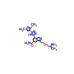 CCn1nc(C)cc1-c1nnc(-c2cc(C(N)=O)cc3c2cnn3CCOCCN(C)N)[nH]1